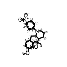 COc1ccc(CC2C(C(C)(C)O)CCCN2c2ccc([N+](=O)[O-])cc2)cc1